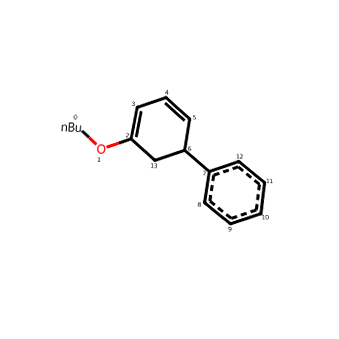 CCCCOC1=CC=CC(c2ccccc2)C1